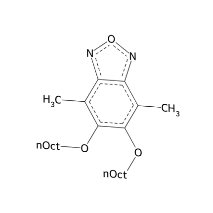 CCCCCCCCOc1c(OCCCCCCCC)c(C)c2nonc2c1C